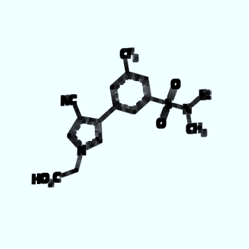 CCN(C)S(=O)(=O)c1cc(-c2cn(CC(=O)O)cc2C#N)cc(C(F)(F)F)c1